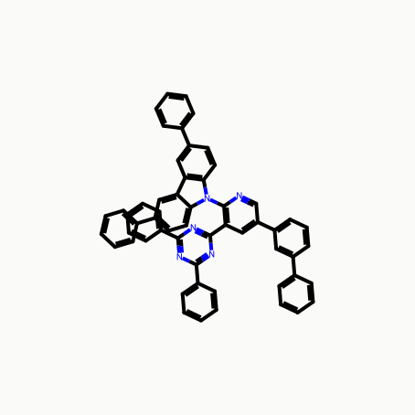 c1ccc(-c2cccc(-c3cnc(-n4c5ccc(-c6ccccc6)cc5c5cc(-c6ccccc6)ccc54)c(-c4nc(-c5ccccc5)nc(-c5ccccc5)n4)c3)c2)cc1